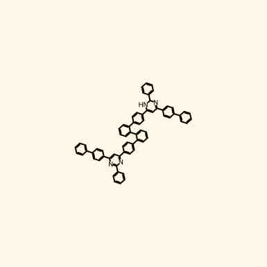 C1=C(c2ccc(-c3ccccc3-c3ccccc3-c3ccc(-c4cc(-c5ccc(-c6ccccc6)cc5)nc(-c5ccccc5)n4)cc3)cc2)NC(c2ccccc2)N=C1c1ccc(-c2ccccc2)cc1